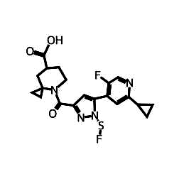 O=C(O)C1CCN(C(=O)c2cc(-c3cc(C4CC4)ncc3F)n(SF)n2)C2(CC2)C1